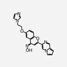 ON=c1cc(-c2cn3cccc3cn2)oc2ccc(OCCn3ccnc3)cc12